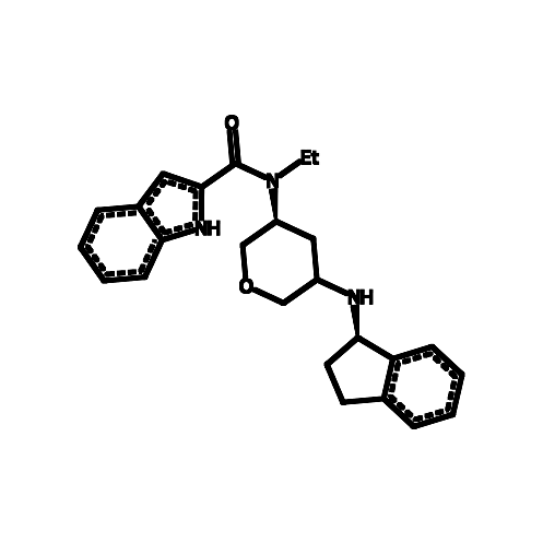 CCN(C(=O)c1cc2ccccc2[nH]1)[C@@H]1COCC(N[C@@H]2CCc3ccccc32)C1